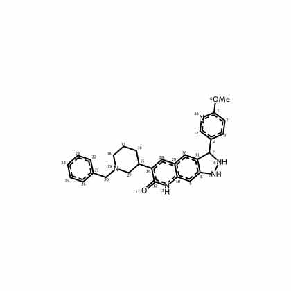 COc1ccc(C2NNc3cc4[nH]c(=O)c(C5CCCN(Cc6ccccc6)C5)cc4cc32)cn1